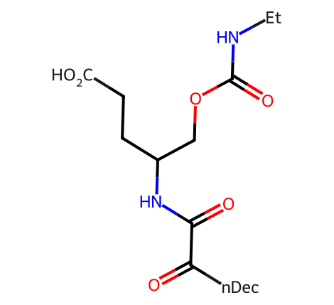 CCCCCCCCCCC(=O)C(=O)NC(CCC(=O)O)COC(=O)NCC